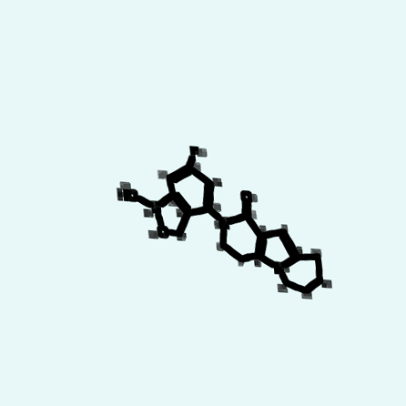 O=C1c2cc3n(c2CCN1c1cc(F)cc2c1COB2O)CCCC3